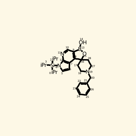 CC(C)[Si](C(C)C)(C(C)C)n1ccc2c3c(cnc21)B(O)OC31CCN(Cc2ccccc2)CC1